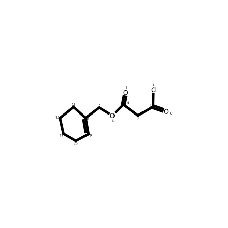 O=C(Cl)CC(=O)OCC1=CCCCC1